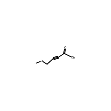 [CH2]OCC#CC(=O)O